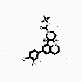 CC(C)(C)OC(=O)N1CC[C@H]2[C@@H](C1)c1cc(-c3ccc(Cl)c(Cl)c3)cc3c1N2CCC3